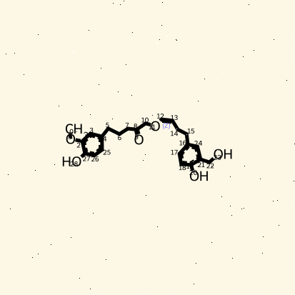 COc1cc(CCCC(=O)CO/C=C\CCc2ccc(O)c(CO)c2)ccc1O